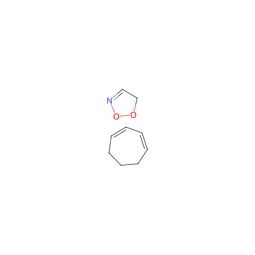 C1=CCCCC=C1.C1=NOOC1